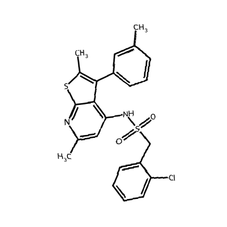 Cc1cccc(-c2c(C)sc3nc(C)cc(NS(=O)(=O)Cc4ccccc4Cl)c23)c1